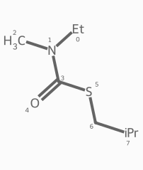 [CH2]CN(C)C(=O)SCC(C)C